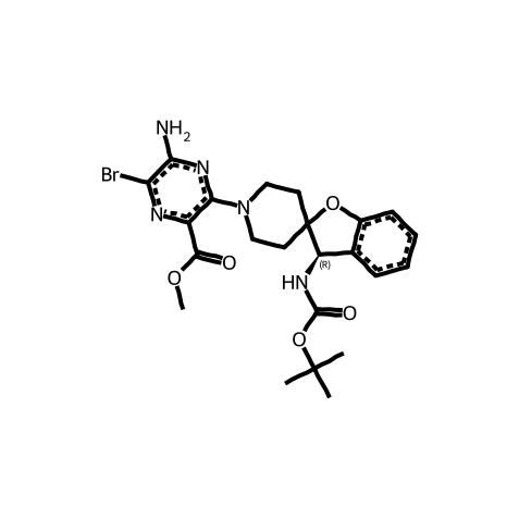 COC(=O)c1nc(Br)c(N)nc1N1CCC2(CC1)Oc1ccccc1[C@H]2NC(=O)OC(C)(C)C